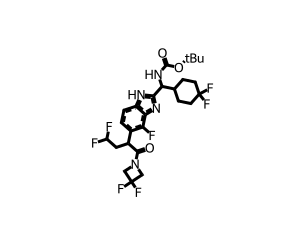 CC(C)(C)OC(=O)NC(c1nc2c(F)c(C(CC(F)F)C(=O)N3CC(F)(F)C3)ccc2[nH]1)C1CCC(F)(F)CC1